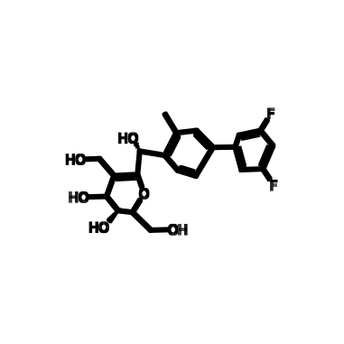 Cc1cc(-c2cc(F)cc(F)c2)ccc1[C@@H](O)C1=C(CO)C(O)[C@H](O)C(CO)O1